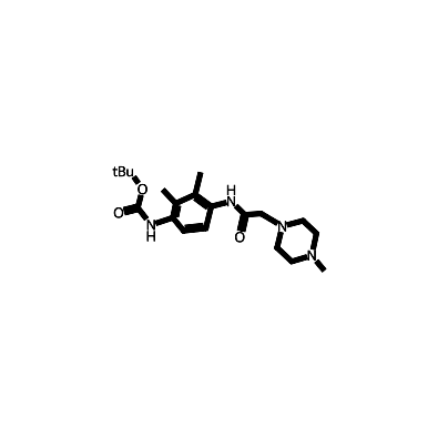 Cc1c(NC(=O)CN2CCN(C)CC2)ccc(NC(=O)OC(C)(C)C)c1C